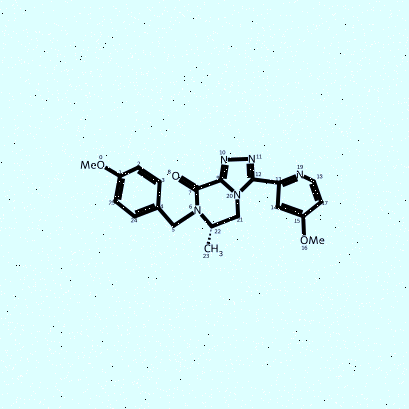 COc1ccc(CN2C(=O)c3nnc(-c4cc(OC)ccn4)n3C[C@@H]2C)cc1